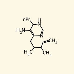 C=CC(C)C(C)CC1=C(N)C(CCC)NC=N1